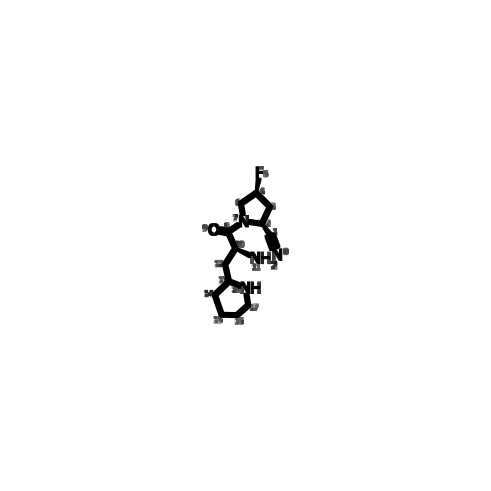 N#C[C@@H]1C[C@H](F)CN1C(=O)[C@@H](N)CC1CCCCN1